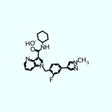 Cn1cc(-c2ccc(Cn3cc(C(=O)N[C@@H]4CCCC[C@H]4O)c4ncccc43)c(F)c2)cn1